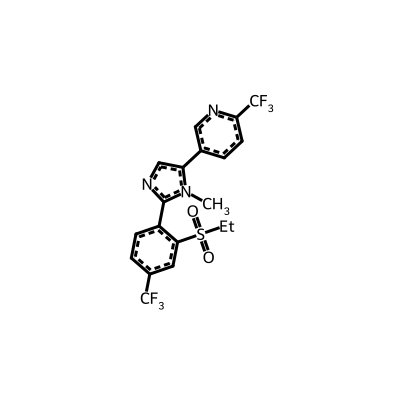 CCS(=O)(=O)c1cc(C(F)(F)F)ccc1-c1ncc(-c2ccc(C(F)(F)F)nc2)n1C